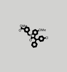 COC(=O)c1cccc(CN2C(=O)/C(=C(\c3ccccc3)c3ccc(Cl)cc3)c3cc(OC)ccc32)c1